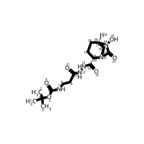 CC(C)(C)OC(=O)NCCC(=O)NNC(=O)[C@@H]1CC[C@@H]2CN1C(=O)N2O